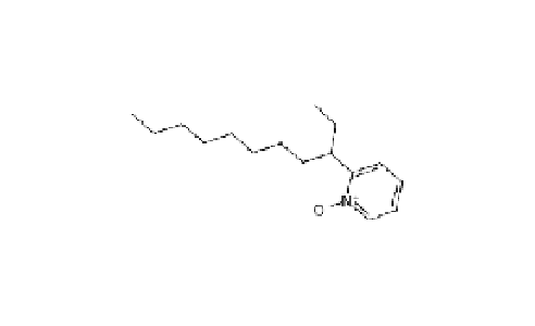 CCCCCCCCC(CC)c1cccc[n+]1[O-]